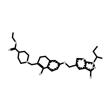 CCOC(=O)C1CCN(CC2=C(Cl)c3ccc(OCc4cnc5c(c4)c(Cl)nn5C(C)CC)cc3CC2)CC1